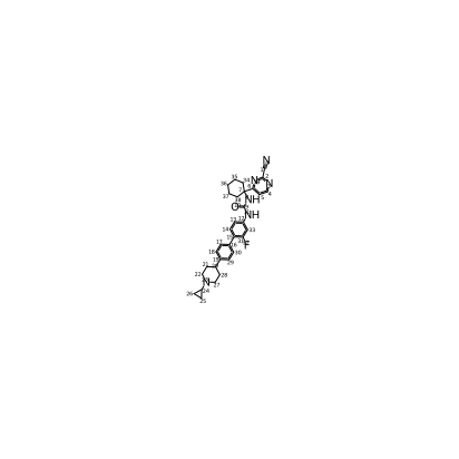 N#Cc1nccc(C2(NC(=O)Nc3ccc(-c4ccc(C5CCN(C6CC6)CC5)cc4)c(F)c3)CCCCC2)n1